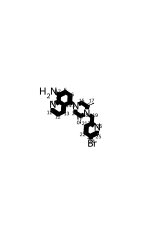 C[C@@H]1CN(c2ccc(N)c3ncccc23)C[C@H](C)N1Cc1ccc(Br)cn1